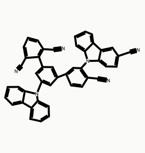 N#Cc1ccc2c(c1)c1ccccc1n2-c1cc(-c2cc(-c3c(C#N)cccc3C#N)cc(-n3c4ccccc4c4ccccc43)c2)ccc1C#N